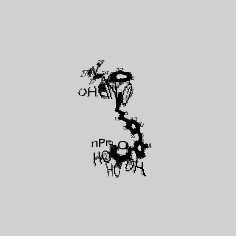 CCC[C@H]1O[C@@H](c2ccc(C)c(Cc3ccc(CCCC(=O)NC4(N(C=O)CCN(C)C)CCCCC4)cc3)c2)[C@H](O)[C@@H](O)[C@@H]1O